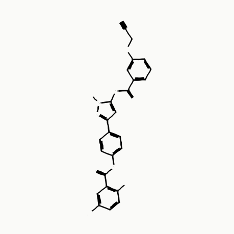 C#CCOc1cccc(C(=O)Nc2cc(-c3ccc(NC(=O)c4cc(C)ccc4Cl)cc3)nn2C)c1